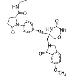 COc1ccc2c(c1)C(=O)N(C[C@]1(C#Cc3ccc(N4C(=O)CCC4C(=O)NC4CC4)cc3)CONC(=O)N1)C2